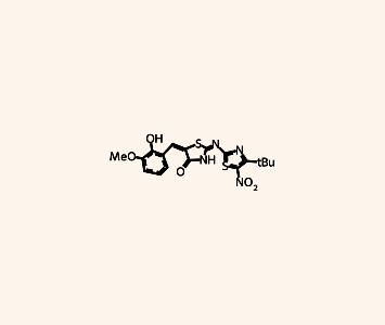 COc1cccc(C=C2SC(=Nc3nc(C(C)(C)C)c([N+](=O)[O-])s3)NC2=O)c1O